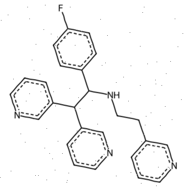 Fc1ccc(C(NCCc2cccnc2)C(c2cccnc2)c2cccnc2)cc1